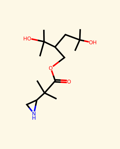 CC(C)(O)CC(COC(=O)C(C)(C)C1CN1)C(C)(C)O